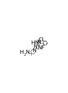 CC1(CN)CCN(c2cnc3c(-c4c(F)cccc4Cl)n[nH]c3n2)CC1